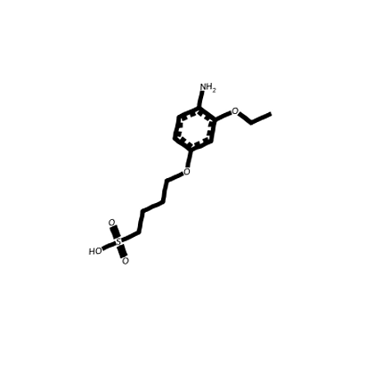 CCOc1cc(OCCCCS(=O)(=O)O)ccc1N